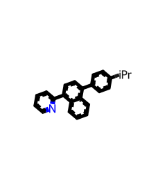 CC(C)c1ccc(-c2ccc(-c3ccccn3)c3ccccc23)cc1